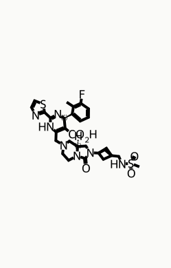 Cc1c(F)cccc1[C@@H]1N=C(c2nccs2)NC(CN2CCN3C(=O)N(C45CC(CNS(C)(=O)=O)(C4)C5)C[C@@H]3C2)=C1C(=O)O